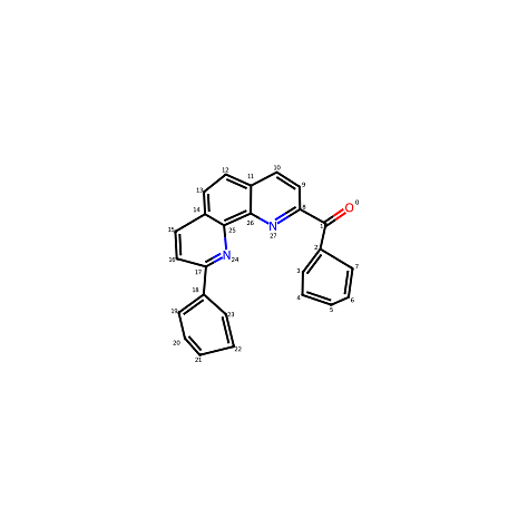 O=C(c1ccccc1)c1ccc2ccc3ccc(-c4ccccc4)nc3c2n1